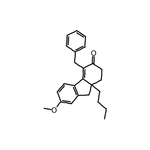 CCCCC12CCC(=O)C(Cc3ccccc3)=C1c1ccc(OC)cc1C2